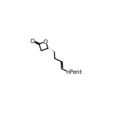 CCCCCC=CCC[C@@H]1CC(=O)O1